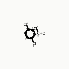 Clc1ccc(Cl)cc1.O=CCl